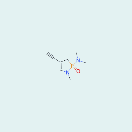 C#CC1=CN(C)P(=O)(N(C)C)C1